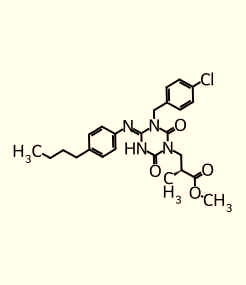 CCCCc1ccc(/N=c2\[nH]c(=O)n(C[C@H](C)C(=O)OC)c(=O)n2Cc2ccc(Cl)cc2)cc1